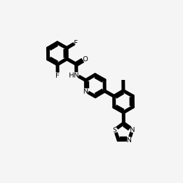 Cc1ccc(-c2nncs2)cc1-c1ccc(NC(=O)c2c(F)cccc2F)nc1